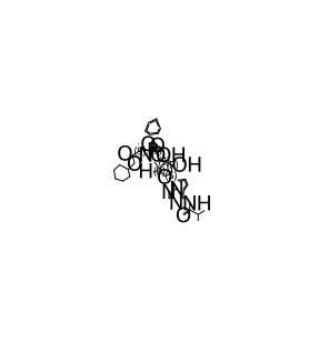 CC(C)C(=O)Nc1ncnn2c([C@@H]3O[C@](C)(CO[P@@](=O)(N[C@@H](C)C(=O)OC4CCCCC4)Oc4ccccc4)[C@@H](O)[C@H]3O)ccc12